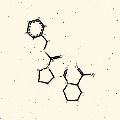 O=C(O)C1CCCCN1C(=O)[C@@H]1CCCN1C(=O)OCc1ccccc1